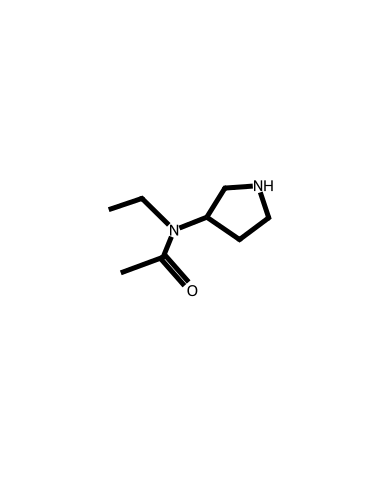 CCN(C(C)=O)C1CCNC1